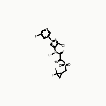 CCN(C(=O)C(=N)CS(=O)(=O)CC1CC1(F)F)c1cn(-c2cncc(F)c2)nc1Cl